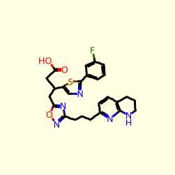 O=C(O)CC(Cc1nc(CCCc2ccc3c(n2)NCCC3)no1)c1cnc(-c2cccc(F)c2)s1